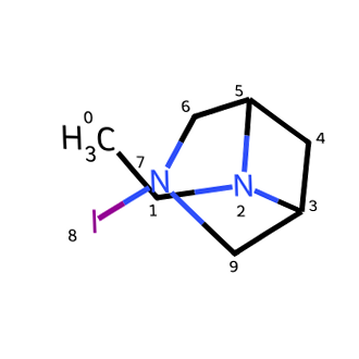 CCN1C2CC1CN(I)C2